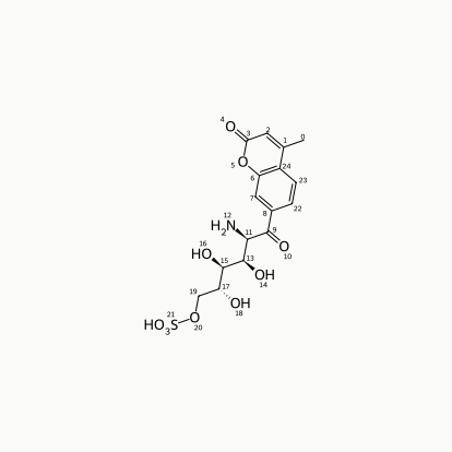 Cc1cc(=O)oc2cc(C(=O)[C@H](N)[C@@H](O)[C@H](O)[C@H](O)COS(=O)(=O)O)ccc12